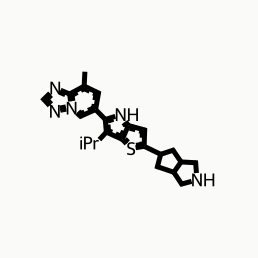 Cc1cc(-c2[nH]c3cc(C4CC5CNCC5C4)sc3c2C(C)C)cn2ncnc12